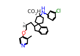 Cc1cnccc1OC[C@H](C)CC1Cc2ccccc2C12CCC(Nc1cccc(Cl)c1)(C(=O)O)CC2